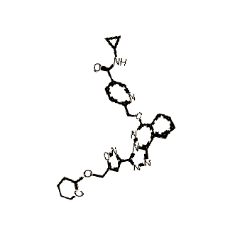 O=C(NC1CC1)c1ccc(COc2nn3c(-c4cc(COC5CCCCO5)on4)nnc3c3ccccc23)nc1